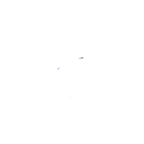 Nc1nc2c(ncn2[C@H]2C[C@H](O)[C@@H](CO[PH](=O)O)O2)c(=O)[nH]1